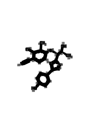 Cc1c(N[C@@H](c2nnc(-c3ccc(O)cc3)o2)[C@@H](C)O)ccc(C#N)c1Cl